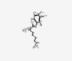 CNCCCC[C@@H](C)C(=O)Oc1c(F)c(F)c(F)c(F)c1F